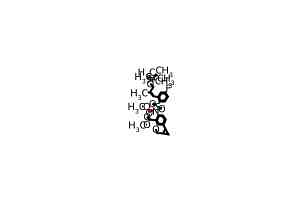 COC(=O)c1c(N(C(=O)OC)S(=O)(=O)c2ccc(F)cc2/C=C(/C)CO[Si](C)(C)C(C)(C)C)ccc2c1OCC1CC21